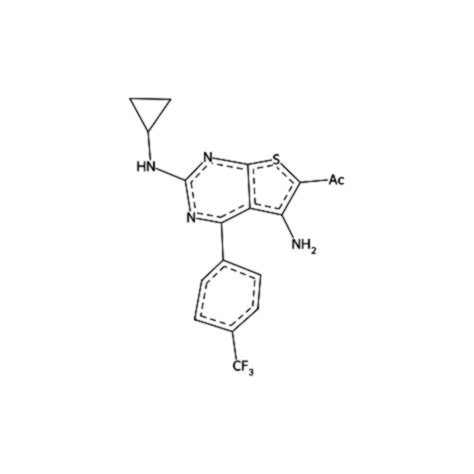 CC(=O)c1sc2nc(NC3CC3)nc(-c3ccc(C(F)(F)F)cc3)c2c1N